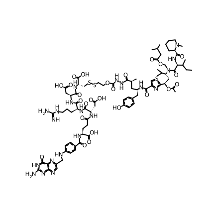 CCC(C)[C@H](NC(=O)[C@H]1CCCCN1C)C(=O)N(COC(=O)CC(C)C)[C@H](C[C@@H](OC(C)=O)c1nc(C(=O)N[C@@H](Cc2ccc(O)cc2)C[C@H](C)C(=O)NNC(=O)OCCSSC[C@H](NC(=O)[C@H](CC(=O)O)NC(=O)[C@H](CCCNC(=N)N)NC(=O)[C@H](CC(=O)O)NC(=O)CC[C@H](NC(=O)c2ccc(NCc3cnc4nc(N)[nH]c(=O)c4n3)cc2)C(=O)O)C(=O)O)cs1)C(C)C